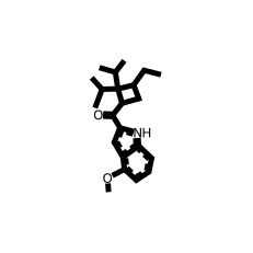 CCC1CC(C(=O)c2cc3c(OC)cccc3[nH]2)C1(C(C)C)C(C)C